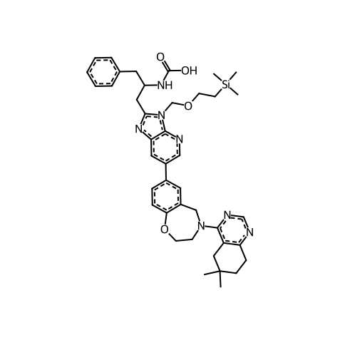 CC1(C)CCc2ncnc(N3CCOc4ccc(-c5cnc6c(c5)nc(CC(Cc5ccccc5)NC(=O)O)n6COCC[Si](C)(C)C)cc4C3)c2C1